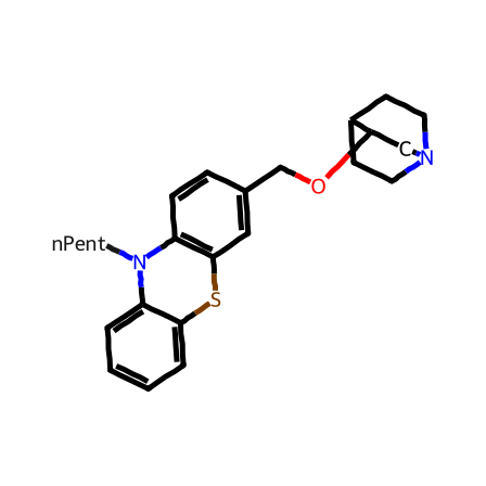 CCCCCN1c2ccccc2Sc2cc(COC3CN4CCC3CC4)ccc21